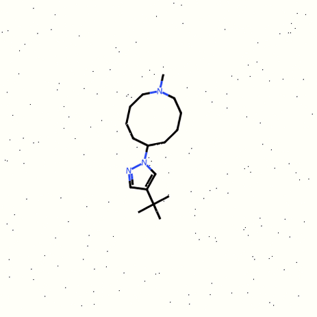 CN1CCCCC(n2cc(C(C)(C)C)cn2)CCCC1